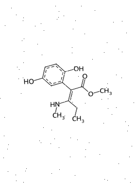 CCC(NC)=C(C(=O)OC)c1cc(O)ccc1O